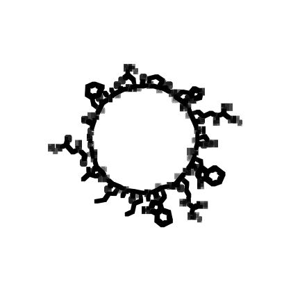 CCCC[C@H]1C(=O)N(C)[C@@H](CCCC)C(=O)N[C@@H](CC(C)C)C(=O)N[C@H](C(=O)NCC(N)=O)CSCC(=O)N[C@@H](Cc2ccccc2)C(=O)N(C)[C@@H](C)C(=O)N[C@@H](CC(N)=O)C(=O)N2CCC[C@H]2C(=O)N[C@@H](Cc2cnc[nH]2)C(=O)N[C@@H](CCCNC(=N)N)C(=O)N[C@@H](CO)C(=O)N[C@@H](Cc2c[nH]c3ccccc23)C(=O)N[C@@H](CCCNC(=N)N)C(=O)N[C@@H](Cc2c[nH]c3ccccc23)C(=O)N1C